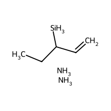 C=CC([SiH3])CC.N.N